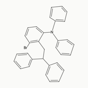 Brc1cccc(N(c2ccccc2)c2ccccc2)c1CC(c1ccccc1)c1ccccc1